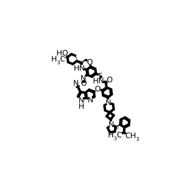 CC(C)c1ccccc1[C@H]1CCCN1C1CC2(CCN(c3ccc(C(=O)NSc4cc(N=O)c5c(c4)OC[C@H]([C@H]4CC[C@](C)(O)CC4)N5)c(Oc4cnc5[nH]cc(C#N)c5c4)c3)CC2)C1